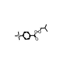 CC(C)[CH]OOC(=O)c1ccc([Si](C)(C)C)cc1